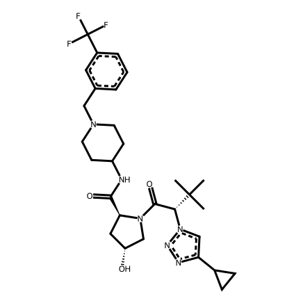 CC(C)(C)[C@@H](C(=O)N1C[C@H](O)C[C@H]1C(=O)NC1CCN(Cc2cccc(C(F)(F)F)c2)CC1)n1cc(C2CC2)nn1